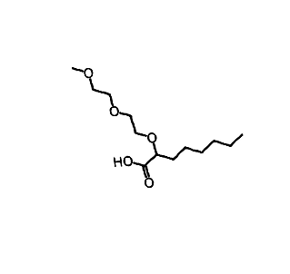 CCCCCCC(OCCOCCOC)C(=O)O